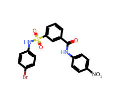 O=C(Nc1ccc([N+](=O)[O-])cc1)c1cccc(S(=O)(=O)Nc2ccc(Br)cc2)c1